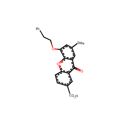 CSc1cc(OCCC(C)C)c2oc3ccc(C(=O)O)cc3c(=O)c2c1